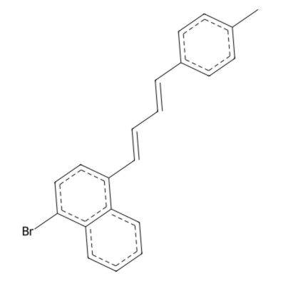 Cc1ccc(/C=C/C=C/c2ccc(Br)c3ccccc23)cc1